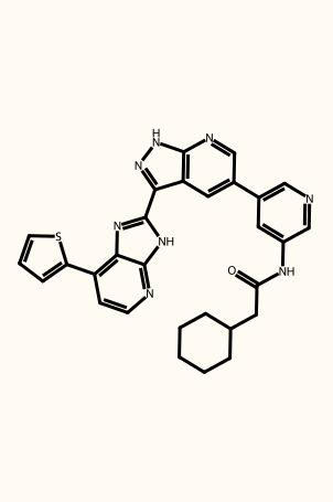 O=C(CC1CCCCC1)Nc1cncc(-c2cnc3[nH]nc(-c4nc5c(-c6cccs6)ccnc5[nH]4)c3c2)c1